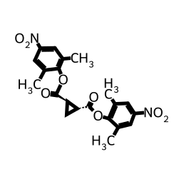 Cc1cc([N+](=O)[O-])cc(C)c1OC(=O)[C@@H]1C[C@H]1C(=O)Oc1c(C)cc([N+](=O)[O-])cc1C